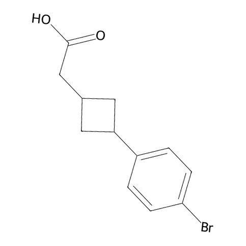 O=C(O)CC1CC(c2ccc(Br)cc2)C1